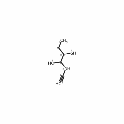 C#CNC(O)[C@H](S)CC